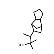 CC(C1CC2CC1C1CCCC21)C(C)(C)C=O